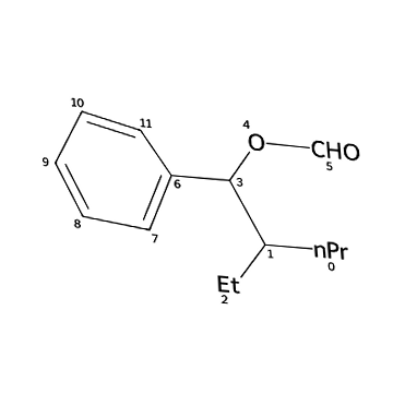 CCCC(CC)C(OC=O)c1ccccc1